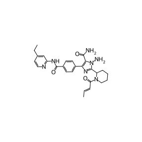 CC=CC(=O)N1CCCCC1c1nc(-c2ccc(C(=O)Nc3cc(CC)ccn3)cc2)c(C(N)=O)n1N